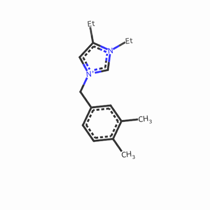 CCc1c[n+](Cc2ccc(C)c(C)c2)cn1CC